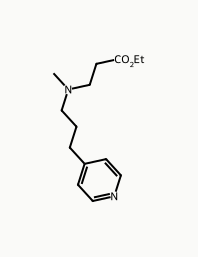 CCOC(=O)CCN(C)CCCc1ccncc1